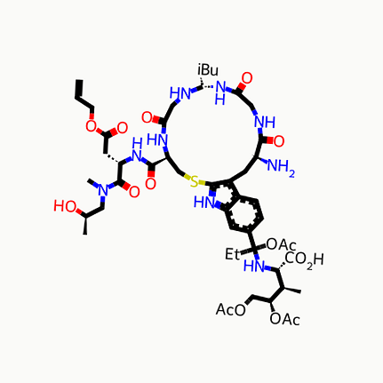 C=CCOC(=O)C[C@H](NC(=O)[C@@H]1CSc2[nH]c3cc(C(CC)(N[C@H](C(=O)O)[C@@H](C)[C@H](COC(C)=O)OC(C)=O)OC(C)=O)ccc3c2C[C@H](N)C(=O)NCC(=O)N[C@@H]([C@@H](C)CC)NCC(=O)N1)C(=O)N(C)C[C@@H](C)O